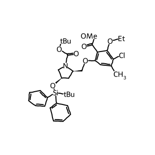 CCOc1c(Cl)c(C)cc(OC[C@H]2C[C@@H](O[Si](c3ccccc3)(c3ccccc3)C(C)(C)C)CN2C(=O)OC(C)(C)C)c1C(=O)OC